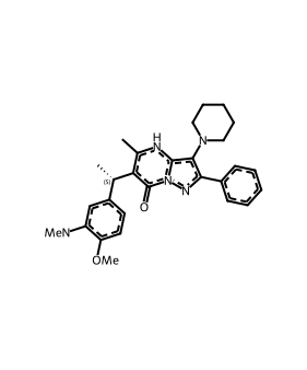 CNc1cc([C@H](C)c2c(C)[nH]c3c(N4CCCCC4)c(-c4ccccc4)nn3c2=O)ccc1OC